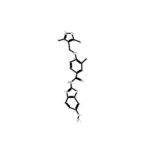 Cc1cc(C(=O)Nc2nc3ccc(OC(F)(F)F)cc3s2)ccc1OCc1c(C)noc1C